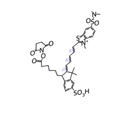 CN(C)S(=O)(=O)c1ccc2c(c1)sc(/C=C/C=C/C=C1/C(CCCCCC(=O)ON3C(=O)CCC3=O)c3ccc(S(=O)(=O)O)cc3C1(C)C)[n+]2C